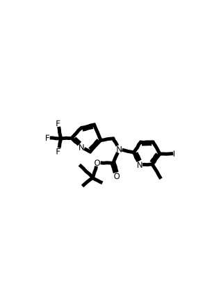 Cc1nc(N(Cc2ccc(C(F)(F)F)nc2)C(=O)OC(C)(C)C)ccc1I